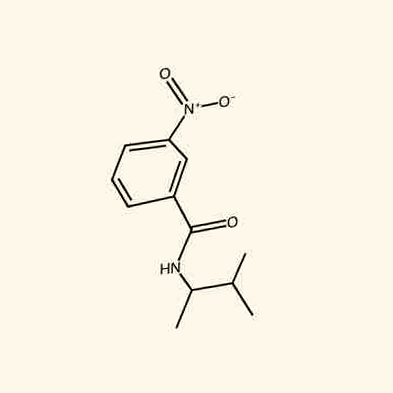 CC(C)C(C)NC(=O)c1cccc([N+](=O)[O-])c1